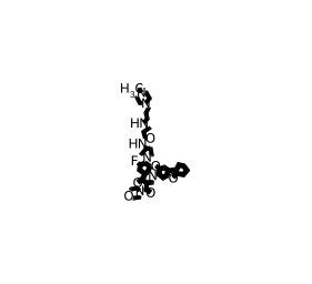 CN1CCN(CCCNCCC(=O)N[C@@H]2CCN(c3c(F)cc4c(=O)c(C(=O)N5CCOCC5)cn5c4c3Oc3cc4c(cc3-5)oc3ccccc34)C2)CC1